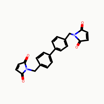 O=C1C=CC(=O)N1Cc1ccc(-c2ccc(CN3C(=O)C=CC3=O)cc2)cc1